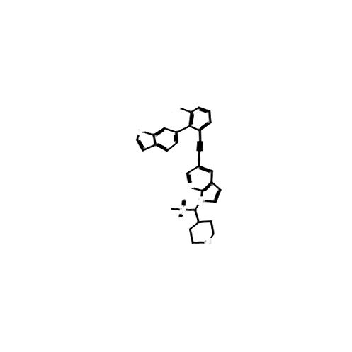 CS(=O)(=O)C(C1CCNCC1)n1ccc2cc(C#Cc3cccc(C(=O)O)c3-c3ccc4cc[nH]c4c3)cnc21